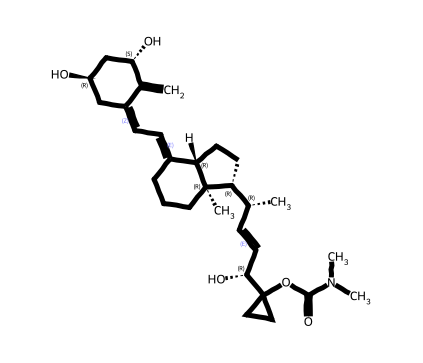 C=C1/C(=C\C=C2/CCC[C@]3(C)[C@@H]([C@H](C)/C=C/[C@@H](O)C4(OC(=O)N(C)C)CC4)CC[C@@H]23)C[C@@H](O)C[C@@H]1O